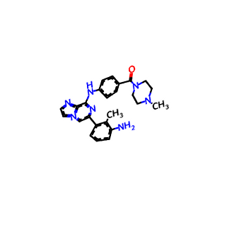 Cc1c(N)cccc1-c1cn2ccnc2c(Nc2ccc(C(=O)N3CCN(C)CC3)cc2)n1